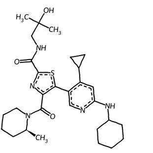 C[C@H]1CCCCN1C(=O)c1nc(C(=O)NCC(C)(C)O)sc1-c1cnc(NC2CCCCC2)cc1C1CC1